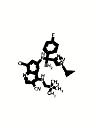 BC(Nc1cc(Cl)c2ncc(C#N)c(NCS(C)(C)C)c2c1)(c1ccc(F)cc1)c1cn(C2CC2)nn1